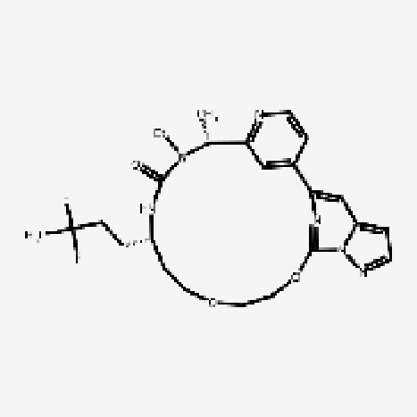 CCN1C(=O)N[C@@H](CCC(C)(F)F)CCOCCOc2nc(cc3ccnn23)-c2ccnc(c2)[C@H]1C